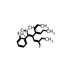 C\C=C/C(=C\CC)C(/C=C(/F)CC)=C(/c1ccccc1F)N(C)C